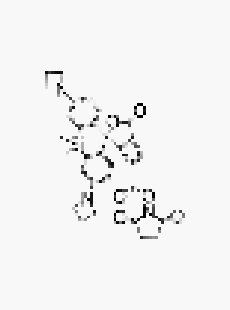 C[Si]1(C)c2cc(N3CCC3)ccc2C2(OC(=O)c3ccc(C(=O)ON4C(=O)CCC4=O)cc32)c2ccc(N3CCC3)cc21